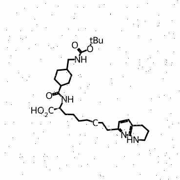 CC(C)(C)OC(=O)NCC1CCC(C(=O)N[C@@H](CCCCCCCc2ccc3c(n2)NCCC3)C(=O)O)CC1